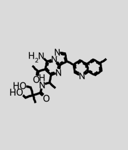 CC(=O)c1c(C(C)NC(=O)C(C)(CO)CO)nc2c(-c3cnc4ccc(C)cc4c3)cnn2c1N